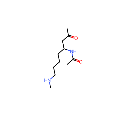 CNCCCCC(CC(C)=O)NC(C)=O